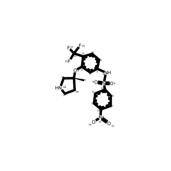 C[C@@]1(Oc2cc(NS(=O)(=O)c3ccc([N+](=O)[O-])cc3)ccc2C(F)(F)F)CCNC1